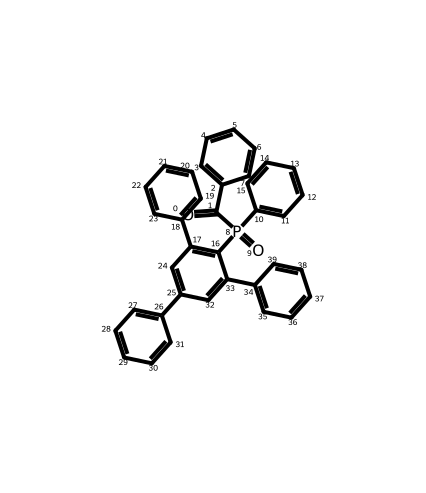 O=C(c1ccccc1)P(=O)(c1ccccc1)c1c(-c2ccccc2)cc(-c2ccccc2)cc1-c1ccccc1